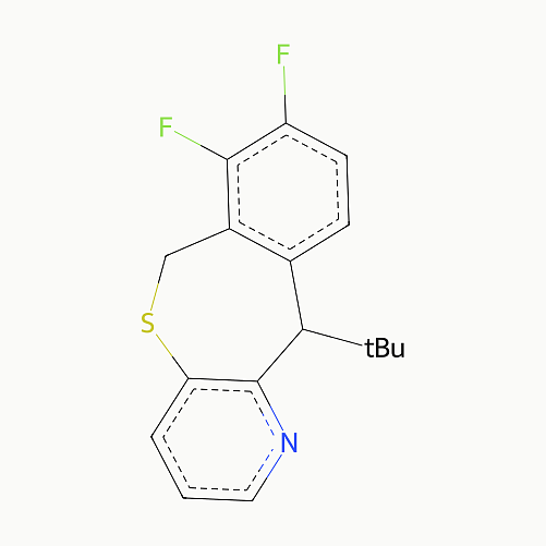 CC(C)(C)C1c2ccc(F)c(F)c2CSc2cccnc21